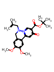 C=C(C)CN1Cc2cc(OC)c(OC)cc2-c2cc(=O)c(C(=O)OC(C)(C)C)cn21